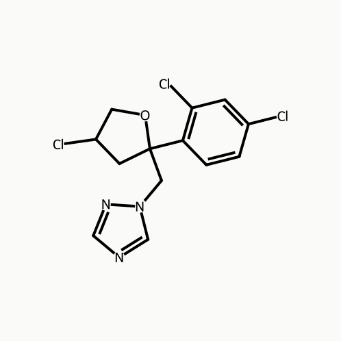 Clc1ccc(C2(Cn3cncn3)CC(Cl)CO2)c(Cl)c1